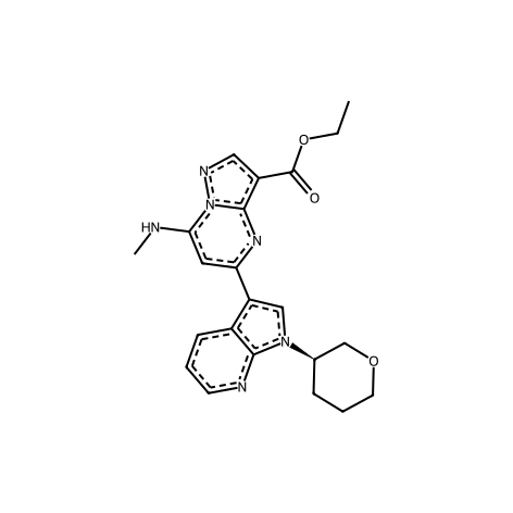 CCOC(=O)c1cnn2c(NC)cc(-c3cn([C@@H]4CCCOC4)c4ncccc34)nc12